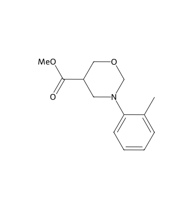 COC(=O)C1COCN(c2ccccc2C)C1